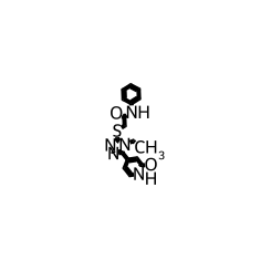 CCn1c(SCC(=O)Nc2ccccc2)nnc1-c1ccnc(O)c1